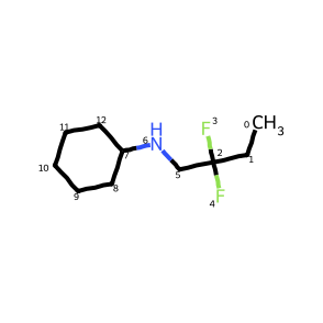 CCC(F)(F)CNC1CCCCC1